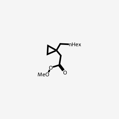 CCCCCCCC1(CC(=O)OOC)CC1